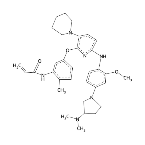 C=CC(=O)Nc1cc(Oc2nc(Nc3ccc(N4CCC(N(C)C)C4)cc3OC)ccc2N2CCCCC2)ccc1C